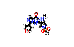 CCS(=O)(=O)N1CC(C)C(c2nn3c(C4CCOCC4)ncc3c(=O)[nH]2)C1